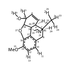 [2H]OC1([2H])C=C[C@H]2[C@H]3Cc4c([2H])c([2H])c(OC)c5c4[C@@]2(CCN3C([2H])([2H])[2H])C1O5